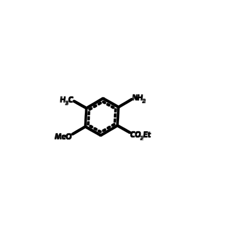 CCOC(=O)c1cc(OC)c(C)cc1N